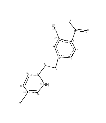 C=C(C)c1ccc(CCC2C=CC(C)=CN2)cc1CC